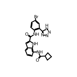 O=C(Nc1ccc(Br)cc1-c1nnn[nH]1)c1cc2cccc(NC(=O)C3CCC3)c2[nH]1